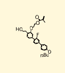 C=C(C)C(=O)OCCOc1cc(-c2ccc(-c3ccc(OCCCC)cc3)cc2F)ccc1CCO